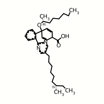 CCCCCC[C@@H](C)OC1(c2ccccc2-c2ncc(CCCCCC[C@@H](C)CC)cn2)C=CC(C(=O)O)C=C1